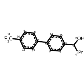 CC(C)C(O)c1ccc(-c2ccc(C(F)(F)F)cc2)cc1